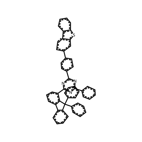 c1ccc(-c2nc(-c3ccc(-c4ccc5c(c4)sc4ccccc45)cc3)nc(-c3cccc4c3C(c3ccccc3)(c3ccccc3)c3ccccc3-4)n2)cc1